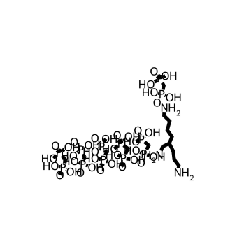 NCCCCC(CN)CCCN.O=P(O)(O)CP(=O)(O)O.O=P(O)(O)CP(=O)(O)O.O=P(O)(O)CP(=O)(O)O.O=P(O)(O)CP(=O)(O)O.O=P(O)(O)CP(=O)(O)O.O=P(O)(O)CP(=O)(O)O